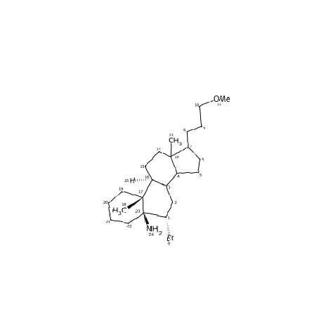 CC[C@H]1CC2C3CCC(CCCOC)C3(C)CC[C@@H]2[C@@]2(C)CCCC[C@@]12N